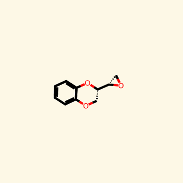 c1ccc2c(c1)OC[C@@H]([C@@H]1CO1)O2